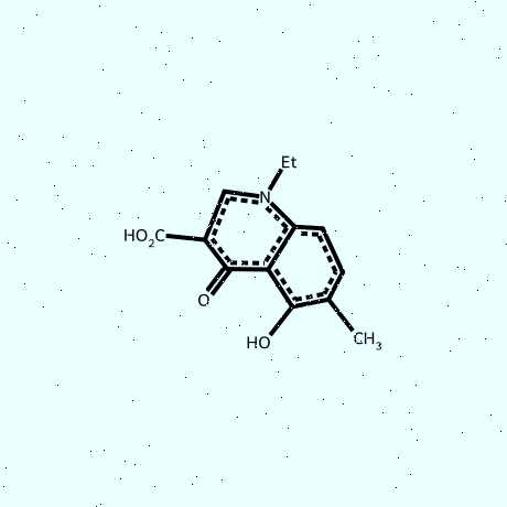 CCn1cc(C(=O)O)c(=O)c2c(O)c(C)ccc21